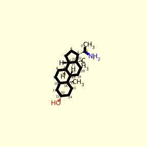 CC(N)[C@H]1CC[C@H]2[C@@H]3CCC4C[C@@H](O)CC[C@]4(C)[C@H]3CC[C@]12C